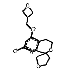 Clc1cc(OCC2COC2)c2c(n1)C1(CCOC1)OCC2